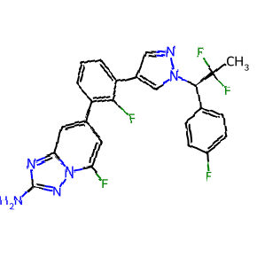 CC(F)(F)[C@@H](c1ccc(F)cc1)n1cc(-c2cccc(-c3cc(F)n4nc(N)nc4c3)c2F)cn1